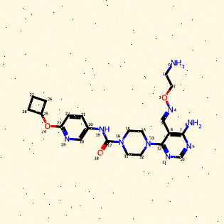 NCCO/N=C/c1c(N)ncnc1N1CCN(C(=O)Nc2ccc(OC3CCC3)nc2)CC1